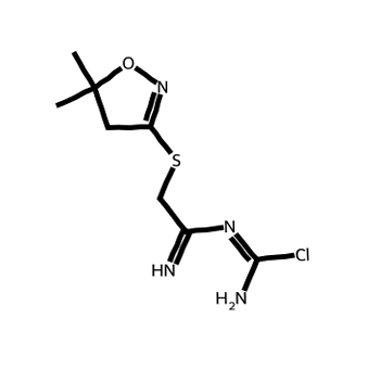 CC1(C)CC(SCC(=N)/N=C(\N)Cl)=NO1